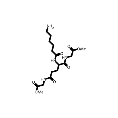 COC(=O)CNC(=O)CCC(NC(=O)CCCCCN)C(=O)NCC(=O)OC